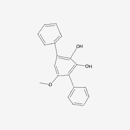 COc1cc(-c2ccccc2)c(O)c(O)c1-c1ccccc1